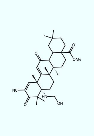 COC(=O)[C@]12CCC(C)(C)CC1C1C(=O)C=C3[C@@]4(C)C=C(C#N)C(=O)C(C)(C)[C@]4(NCO)CC[C@@]3(C)[C@]1(C)CC2